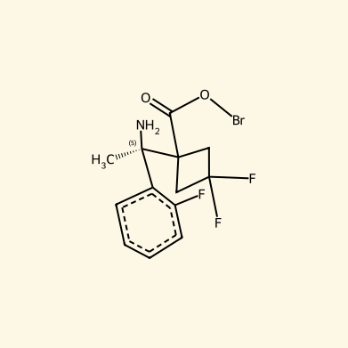 C[C@@](N)(c1ccccc1F)C1(C(=O)OBr)CC(F)(F)C1